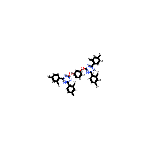 Cc1ccc(-c2nc(Oc3cccc(Oc4nc(-c5ccc(C)cc5C)nc(-c5ccc(C)cc5C)n4)c3)nc(-c3ccc(C)cc3C)n2)c(C)c1